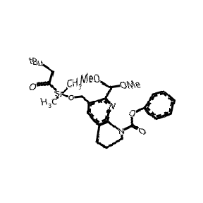 COC(OC)c1nc2c(cc1CO[Si](C)(C)C(=O)CC(C)(C)C)CCCN2C(=O)Oc1ccccc1